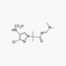 CN(C)C=NC(=O)C(C)(C)n1cc(NC(=O)O)c(Cl)n1